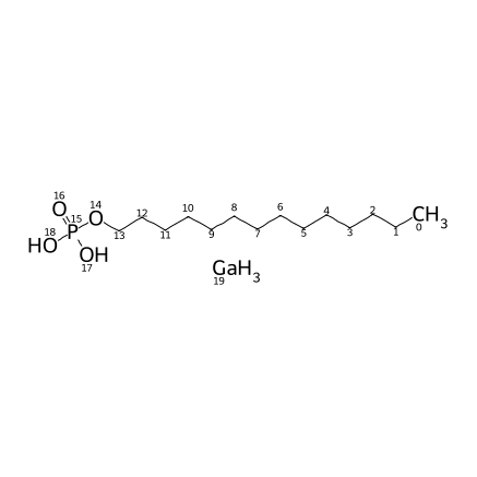 CCCCCCCCCCCCCCOP(=O)(O)O.[GaH3]